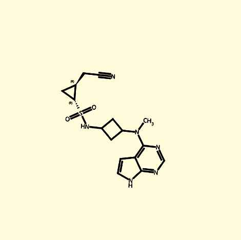 CN(c1ncnc2[nH]ccc12)C1CC(NS(=O)(=O)[C@@H]2C[C@H]2CC#N)C1